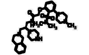 CN1CCN(c2cccc(OCC(=O)NC[C@H](CN3CCc4ccccc4C3)N3CCNCC3)c2S(=O)(=O)N(C)C)CC1